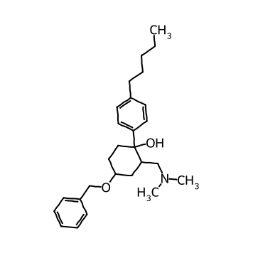 CCCCCc1ccc(C2(O)CCC(OCc3ccccc3)CC2CN(C)C)cc1